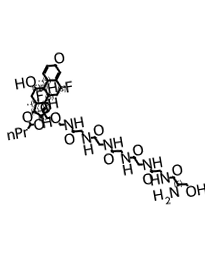 CCCC1O[C@@H]2C[C@H]3[C@@H]4C[C@H](F)C5=CC(=O)C=C[C@]5(C)[C@@]4(F)[C@@H](O)C[C@]3(C)[C@]2(C(=O)COCNC(=O)CNC(=O)CNC(=O)CNC(=O)CNC(=O)CNC(=O)[C@@H](N)CO)O1